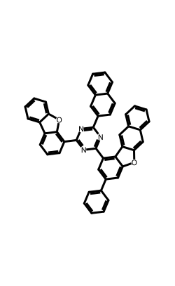 c1ccc(-c2cc(-c3nc(-c4ccc5ccccc5c4)nc(-c4cccc5c4oc4ccccc45)n3)c3c(c2)oc2cc4ccccc4cc23)cc1